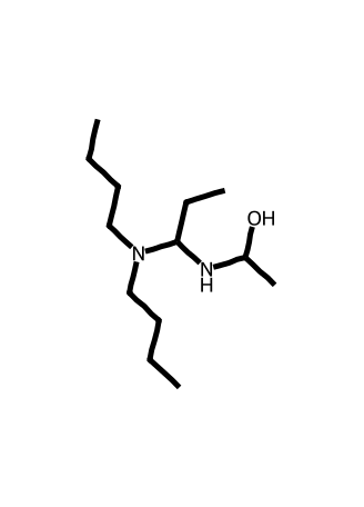 CCCCN(CCCC)C(CC)NC(C)O